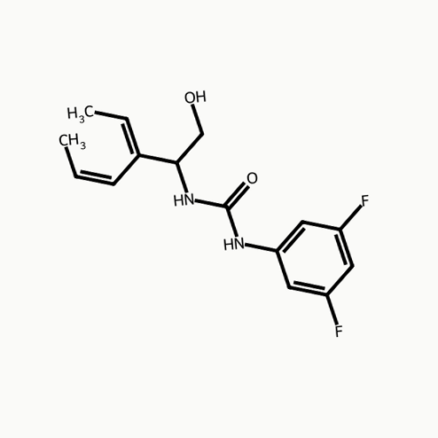 C/C=C\C(=C/C)C(CO)NC(=O)Nc1cc(F)cc(F)c1